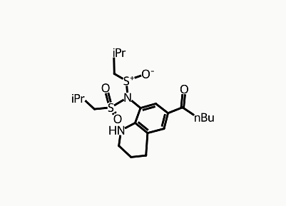 CCCCC(=O)c1cc2c(c(N([S+]([O-])CC(C)C)S(=O)(=O)CC(C)C)c1)NCCC2